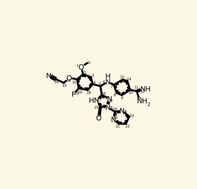 COc1cc(C(Nc2ccc(C(=N)N)cc2)c2nn(-c3ncccn3)c(=O)[nH]2)cc(F)c1OCC#N